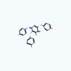 COC1=C(Nc2ccc(O)cc2)/C(=N\c2ccc(O)cc2)C=C(Nc2ccc(O)cc2)C1=O